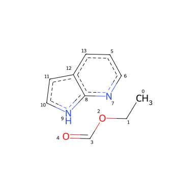 CCOC=O.c1cnc2[nH]ccc2c1